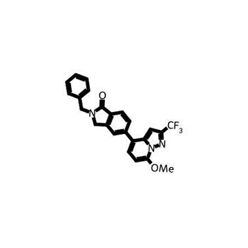 COc1ccc(-c2ccc3c(c2)CN(Cc2ccccc2)C3=O)c2cc(C(F)(F)F)nn12